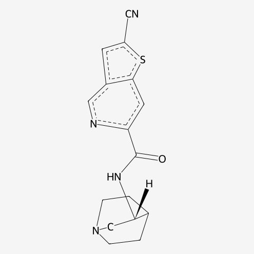 N#Cc1cc2cnc(C(=O)N[C@H]3CN4CCC3CC4)cc2s1